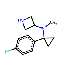 CN(C1CNC1)C1(c2ccc(F)cc2)CC1